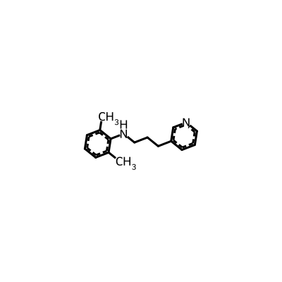 Cc1cccc(C)c1NCCCc1cccnc1